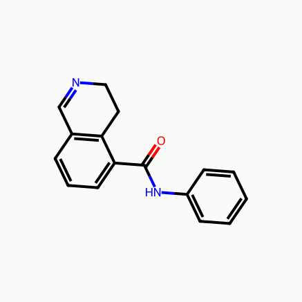 O=C(Nc1ccccc1)c1cccc2c1CCN=C2